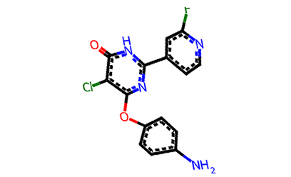 Nc1ccc(Oc2nc(-c3ccnc(F)c3)[nH]c(=O)c2Cl)cc1